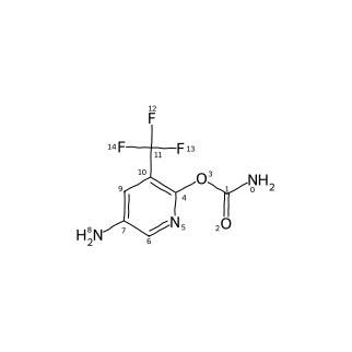 NC(=O)Oc1ncc(N)cc1C(F)(F)F